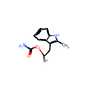 Cc1[nH]c2ccccc2c1CC(OC(N)=O)C(C)(C)C